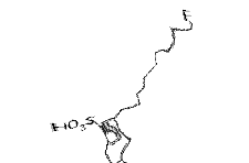 Cc1ccc(S(=O)(=O)O)c(CCCCCCCCCCF)c1